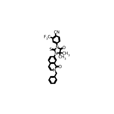 CC1(C)C(=O)N(c2ccc(C#N)c(C(F)(F)F)c2)C(=S)N1c1ccc2ccn(Cc3ccccc3)c(=O)c2c1